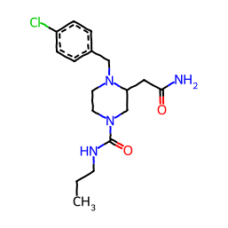 CCCNC(=O)N1CCN(Cc2ccc(Cl)cc2)C(CC(N)=O)C1